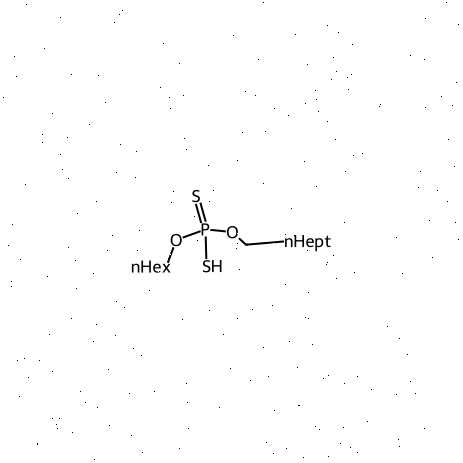 CCCCCCCCOP(=S)(S)OCCCCCC